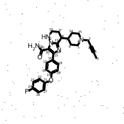 CC#CCN1CCC(C2CCNn3c2nc(-c2ccc(Oc4ccc(F)cc4)cc2)c3C(N)=O)CC1